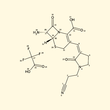 N#CCCN1CCC(=CC2=C(C(=O)O)N3C(=O)[C@@H](N)[C@H]3SC2)C1=O.O=C(O)C(F)(F)F